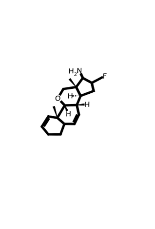 C[C@]12C=CCCC1C=C[C@@H]1[C@H]2OC[C@]2(C)C(N)C(F)C[C@@H]12